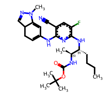 CCCC[C@@H](Nc1nc(NC2=CCC3C=NN(C)C3=C2)c(C#N)cc1F)[C@H](C)NC(=O)OC(C)(C)C